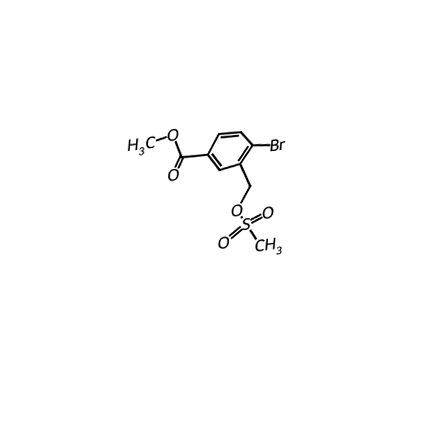 COC(=O)c1ccc(Br)c(COS(C)(=O)=O)c1